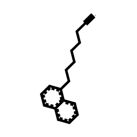 [C]#CCCCCCCc1cccc2ccccc12